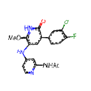 COc1[nH]c(=O)c(-c2ccc(F)c(Cl)c2)cc1Nc1ccnc(NC(C)=O)c1